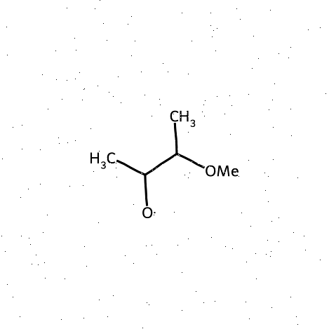 [CH2]OC(C)C(C)[O]